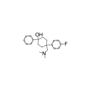 CN(C)CC1(c2ccc(F)cc2)CCC(O)(c2ccccc2)CC1